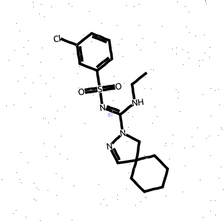 CCN/C(=N\S(=O)(=O)c1cccc(Cl)c1)N1CC2(C=N1)CCCCC2